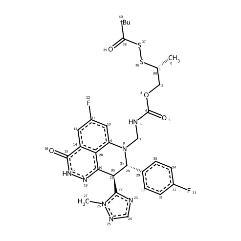 C[C@H](COC(=O)NCN1c2cc(F)cc3c(=O)[nH]nc(c23)[C@H](c2ncnn2C)[C@H]1c1ccc(F)cc1)SSC(=O)C(C)(C)C